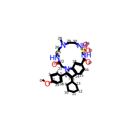 COc1ccc(-c2c(C3CCCCC3)c3ccc4cc3n2CC(=O)NCCN(C)CCNS(=O)(=O)NC4=O)cc1